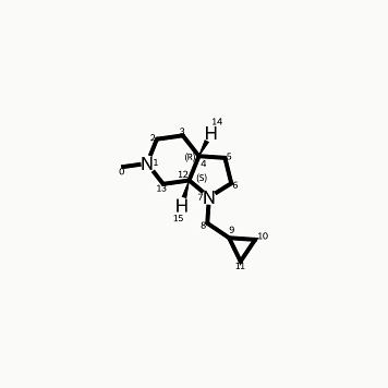 CN1CC[C@@H]2CCN(CC3CC3)[C@@H]2C1